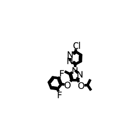 Cc1c(Oc2c(F)cccc2F)c(OC(C)C)nn1-c1ccc(Cl)nn1